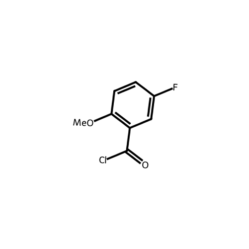 COc1ccc(F)cc1C(=O)Cl